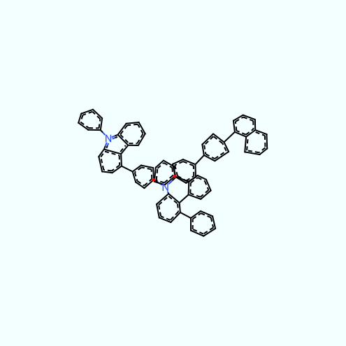 c1ccc(-c2ccccc2-c2c(-c3ccccc3)cccc2N(c2ccc(-c3ccc(-c4cccc5ccccc45)cc3)cc2)c2ccc(-c3cccc4c3c3ccccc3n4-c3ccccc3)cc2)cc1